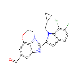 O=Cc1cc2c3c(c1)nc(-c1cc4ccc(F)c(Cl)c4n1CC1CC1)n3CCO2